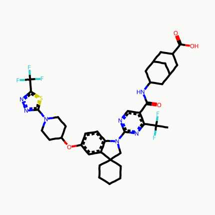 CC(F)(F)c1nc(N2CC3(CCCCC3)c3cc(OC4CCN(c5nnc(C(F)(F)F)s5)CC4)ccc32)ncc1C(=O)NC1CC2CC(C1)CC(C(=O)O)C2